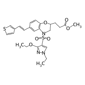 CCOc1nn(CC)cc1S(=O)(=O)N1CC(CCC(=O)OC)Oc2ccc(/C=C/c3ccsc3)cc21